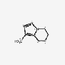 O=C(O)c1cnn2c1COCC2